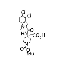 Cn1c(C(=O)NC2(CC(=O)O)CCN(C(=O)OC(C)(C)C)CC2)cc2c(Cl)c(Cl)ccc21